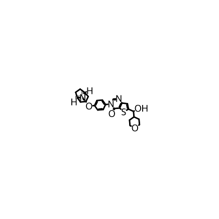 CN1[C@@H]2CC[C@@H]1CC(Oc1ccc(-n3cnc4cc(C(O)C5CCOCC5)sc4c3=O)cc1)C2